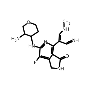 CN/C=C(\C=N)c1nc(NC2CCOCC2N)c(F)c2c1C(=O)NC2